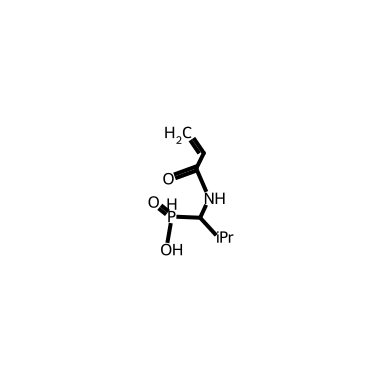 C=CC(=O)NC(C(C)C)[PH](=O)O